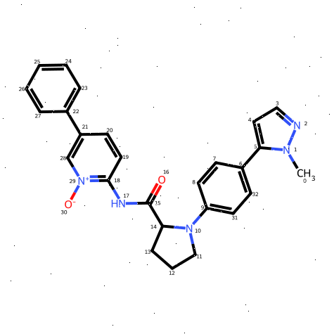 Cn1nccc1-c1ccc(N2CCCC2C(=O)Nc2ccc(-c3ccccc3)c[n+]2[O-])cc1